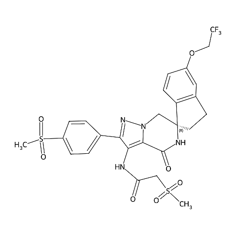 CS(=O)(=O)CC(=O)Nc1c(-c2ccc(S(C)(=O)=O)cc2)nn2c1C(=O)N[C@@]1(CCc3cc(OCC(F)(F)F)ccc31)C2